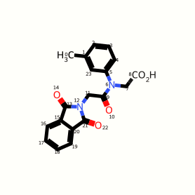 Cc1cccc(N(CC(=O)O)C(=O)CN2C(=O)c3ccccc3C2=O)c1